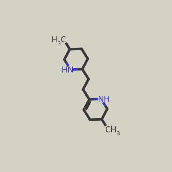 CC1CC=C(CCC2CCC(C)CN2)NC1